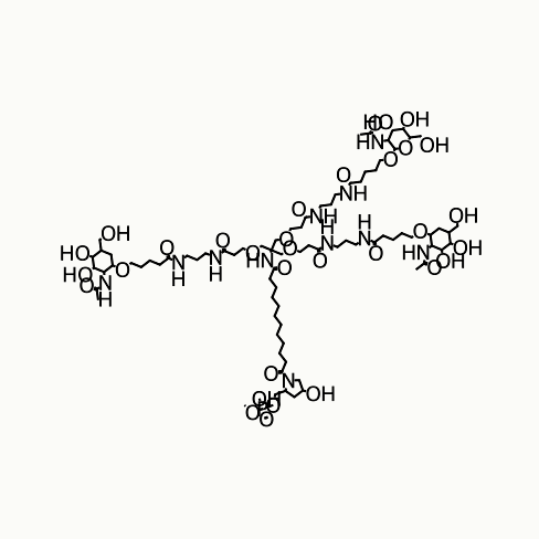 COP(=O)(O)OCC1CC(O)CN1C(=O)CCCCCCCCCCC(=O)NC(COCCC(=O)NCCCNC(=O)CCCCOC1CC(CO)C(O)C(O)C1NC(C)=O)(COCCC(=O)NCCCNC(=O)CCCCOC1CC(CO)C(O)C(O)C1NC(C)=O)COCCC(=O)NCCCNC(=O)CCCCOC1OC(CO)C(O)C(O)C1NC(C)=O